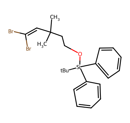 CC(C)(C=C(Br)Br)CCO[Si](c1ccccc1)(c1ccccc1)C(C)(C)C